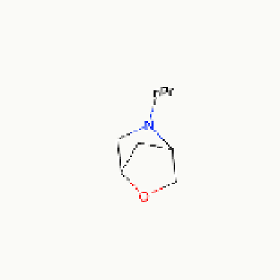 CCCN1CC2CC1CO2